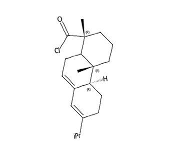 CC(C)C1=CC2=CCC3[C@](C)(C(=O)Cl)CCC[C@]3(C)[C@H]2CC1